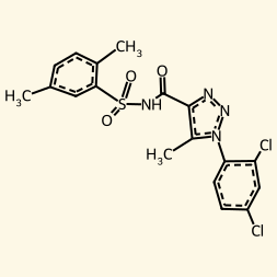 Cc1ccc(C)c(S(=O)(=O)NC(=O)c2nnn(-c3ccc(Cl)cc3Cl)c2C)c1